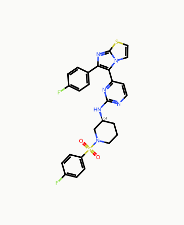 O=S(=O)(c1ccc(F)cc1)N1CCC[C@H](Nc2nccc(-c3c(-c4ccc(F)cc4)nc4sccn34)n2)C1